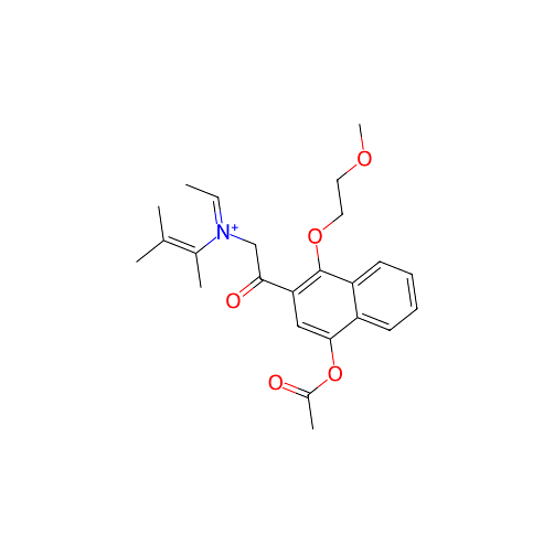 C/C=[N+](/CC(=O)c1cc(OC(C)=O)c2ccccc2c1OCCOC)C(C)=C(C)C